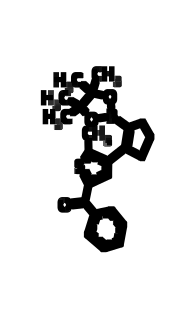 Cc1sc(C(=O)c2ccccc2)cc1C1=C(B2OC(C)(C)C(C)(C)O2)CCC1